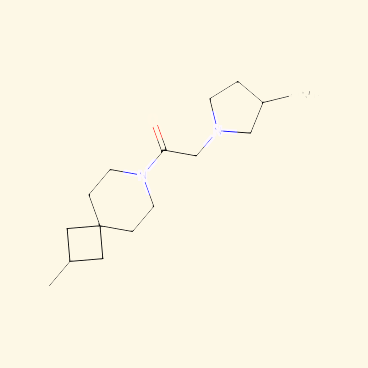 COC1CCN(CC(=O)N2CCC3(CC2)CC(C)C3)C1